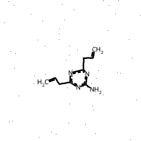 C=CCc1nc(N)nc(CC=C)n1